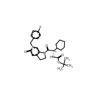 CC(C)(C)OC(=O)N[C@H](C(=O)N1CCc2cc(=O)n(Cc3ccc(F)cc3)cc21)C1CCCCC1